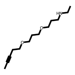 CC#CCCOCCCOCCCNCC